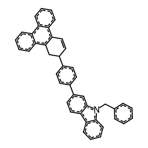 C1=CC(c2ccc(-c3ccc4c5ccccc5n(Cc5ccccc5)c4c3)cc2)Cc2c1c1ccccc1c1ccccc21